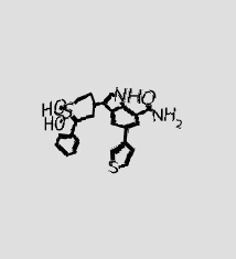 NC(=O)c1cc(-c2ccsc2)cc2c(C3CCS(O)(O)C(c4ccccc4)C3)c[nH]c12